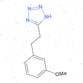 COc1cc[c]c(CCc2nnn[nH]2)c1